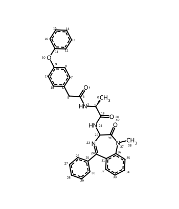 C[C@H](NC(=O)Cc1ccc(Oc2ccccc2)cc1)C(=O)NC1N=C(c2ccccc2)c2ccccc2N(C)C1=O